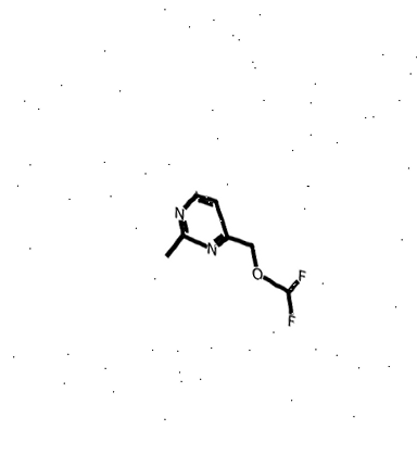 Cc1n[c]cc(COC(F)F)n1